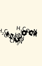 C=CC(=O)N1CCN(c2ccc3ncnc(Nc4ccc(Oc5ccn6ncnc6c5)c(C)c4)c3n2)C(C)C1